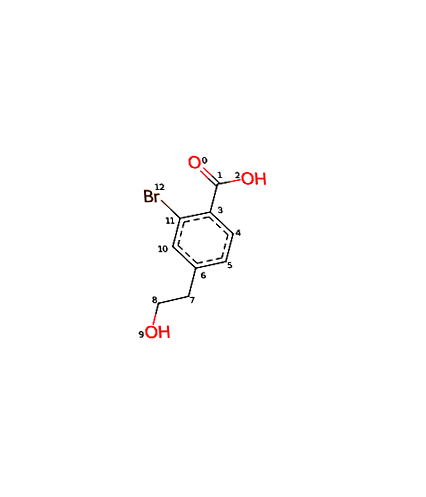 O=C(O)c1ccc(CCO)cc1Br